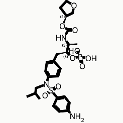 CC(C)CN(c1ccc(C[C@H](OP(=O)(O)O)[C@H](C)NC(=O)O[C@H]2CCOC2)cc1)S(=O)(=O)c1ccc(N)cc1